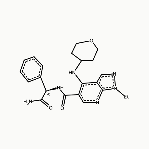 CCn1ncc2c(NC3CCOCC3)c(C(=O)N[C@@H](C(N)=O)c3ccccc3)cnc21